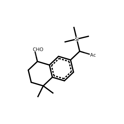 CC(=O)C(c1ccc2c(c1)C(C=O)CCC2(C)C)[Si](C)(C)C